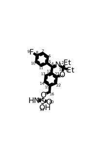 CCC1(CC)N=C(c2ccc(F)cc2)c2ccc(COS(=N)(=O)O)cc2O1